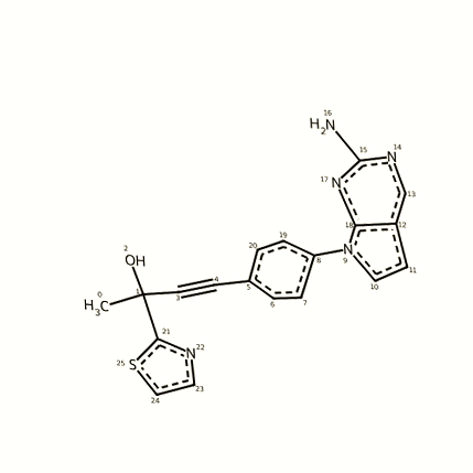 CC(O)(C#Cc1ccc(-n2ccc3cnc(N)nc32)cc1)c1nccs1